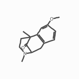 COc1ccc2c(c1)C1(C)CCN(C)C(C2)C1=O